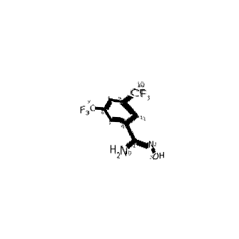 NC(=NO)c1cc(C(F)(F)F)cc(C(F)(F)F)c1